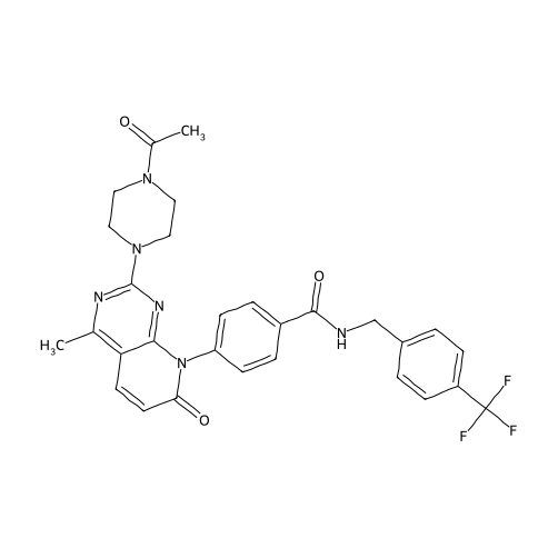 CC(=O)N1CCN(c2nc(C)c3ccc(=O)n(-c4ccc(C(=O)NCc5ccc(C(F)(F)F)cc5)cc4)c3n2)CC1